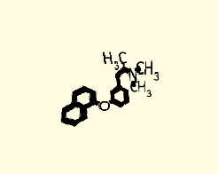 C[C@@H](Cc1cccc(Oc2cccc3ccccc23)c1)N(C)C